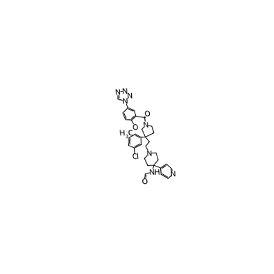 COc1ccc(-n2cnnn2)cc1C(=O)N1CCC(CCN2CCC(NC=O)(c3ccncc3)CC2)(c2cccc(Cl)c2)C1